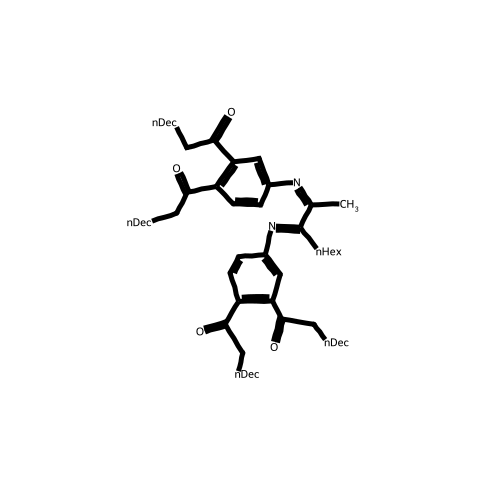 CCCCCCCCCCCC(=O)c1ccc(N=C(C)C(CCCCCC)=Nc2ccc(C(=O)CCCCCCCCCCC)c(C(=O)CCCCCCCCCCC)c2)cc1C(=O)CCCCCCCCCCC